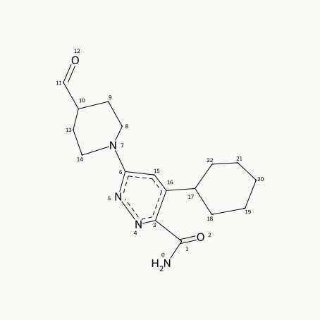 NC(=O)c1nnc(N2CCC(C=O)CC2)cc1C1CCCCC1